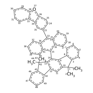 CC1(C)c2ccccc2-c2c1cc1c(c2-c2c3ccccc3c(-c3ccc4oc5ccccc5c4c3)c3ccccc23)C(C)(C)c2ccccc2-1